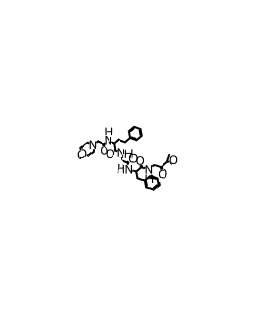 O=C(CN1CCOCC1)NC(CCc1ccccc1)C(=O)NCC(=O)NC(Cc1ccccc1)C(=O)NCC(=O)C1CO1